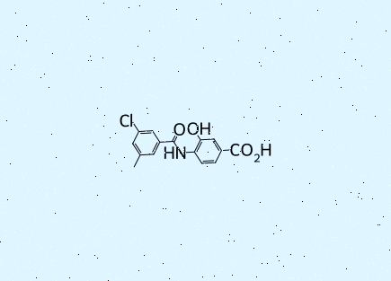 Cc1cc(Cl)cc(C(=O)Nc2ccc(C(=O)O)cc2O)c1